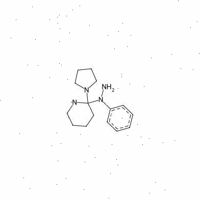 NN(c1ccccc1)C1(N2CCCC2)CCCC[N]1